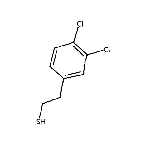 SCCc1ccc(Cl)c(Cl)c1